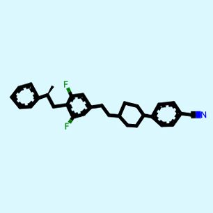 C[C@@H](Cc1c(F)cc(CCC2CCC(c3ccc(C#N)cc3)CC2)cc1F)c1ccccc1